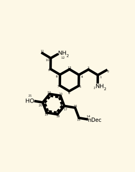 CC(N)CC1CCCC(CC(C)N)C1.CCCCCCCCCCCCc1ccc(O)cc1